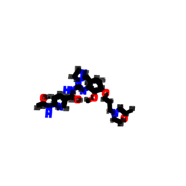 COc1c(OCCCN2CCO[C@H](C)C2)ccc2c1N=C(NC(=O)c1ccc(NC(C)=O)nc1)N1CCN=C21